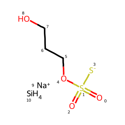 O=S(=O)([S-])OCCCO.[Na+].[SiH4]